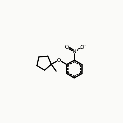 CC1(Oc2ccccc2[N+](=O)[O-])CCCC1